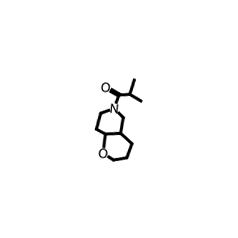 CC(C)C(=O)N1CCC2OCCCC2C1